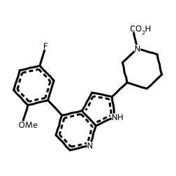 COc1ccc(F)cc1-c1ccnc2[nH]c(C3CCCN(C(=O)O)C3)cc12